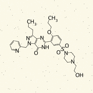 CCCOc1ccc(S(=O)(=O)N2CCN(CCO)CC2)cc1-c1nc2c(CCC)nn(Cc3ccccn3)c2c(=O)[nH]1